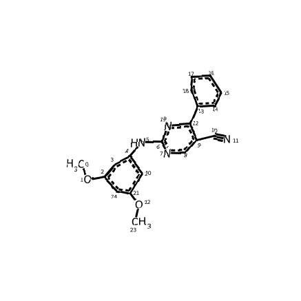 COc1cc(Nc2ncc(C#N)c(-c3ccccc3)n2)cc(OC)c1